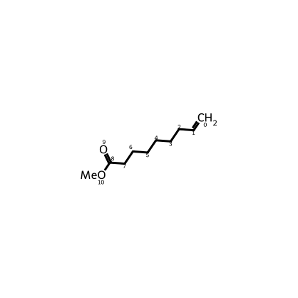 C=CCCCCCCC(=O)OC